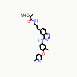 COC(C)C(=O)NCC=Cc1ccc2ncnc(Nc3ccc(Oc4ccc(C)nc4)c(C)c3)c2c1